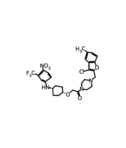 Cc1ccc2oc(CN3CCN(C(=O)CO[C@H]4CC[C@H](Nc5ccc([N+](=O)[O-])c(C(F)(F)F)c5)CC4)CC3)c(Cl)c2c1